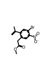 C=C(C)c1cc(Br)c([N+](=O)[O-])cc1CC(=O)OC